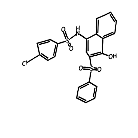 O=S(=O)(Nc1cc(S(=O)(=O)c2ccccc2)c(O)c2ccccc12)c1ccc(Cl)cc1